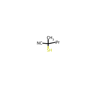 CC(C)C(C)(S)C#N